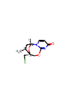 C[C@H]1C[C@H]2O[C@]1(CCl)COc1nc(=O)ccn12